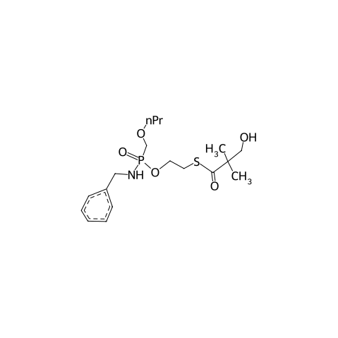 CCCOCP(=O)(NCc1ccccc1)OCCSC(=O)C(C)(C)CO